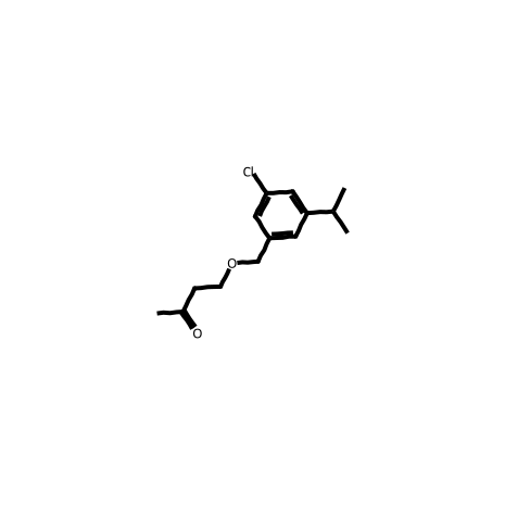 CC(=O)CCOCc1cc(Cl)cc(C(C)C)c1